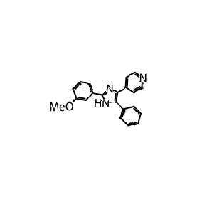 COc1cccc(-c2nc(-c3ccncc3)c(-c3ccccc3)[nH]2)c1